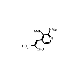 CNc1nccc(/C=C(\C=O)C(=O)O)c1NC